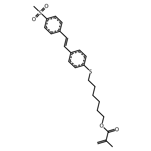 C=C(C)C(=O)OCCCCCCSc1ccc(C=Cc2ccc(S(C)(=O)=O)cc2)cc1